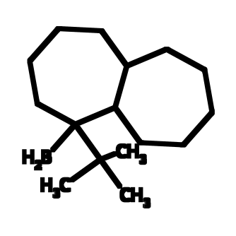 BC1(C(C)(C)C)CCCCC2CCCCCC21